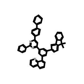 CC1(C)c2ccccc2-c2cc(-c3cc(-c4cc(-c5ccc(-c6ccccc6)cc5)nc(-c5ccccc5)n4)cc(-c4cccc5cccnc45)c3)ccc21